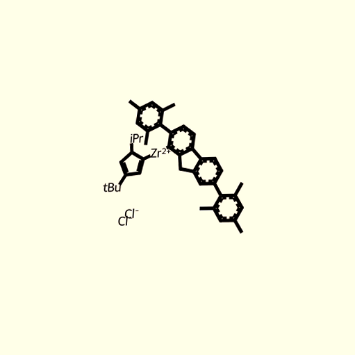 Cc1cc(C)c(-c2ccc3c(c2)Cc2c-3ccc(-c3c(C)cc(C)cc3C)[c]2[Zr+2][C]2=CC(C(C)(C)C)=CC2C(C)C)c(C)c1.[Cl-].[Cl-]